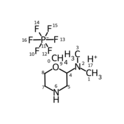 C.CN(C)C1CNCCO1.F[P-](F)(F)(F)(F)F.[H+]